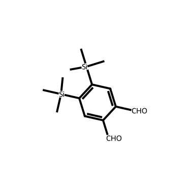 C[Si](C)(C)c1cc(C=O)c(C=O)cc1[Si](C)(C)C